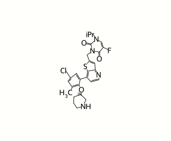 Cc1cc(Cl)cc(-c2ccnc3cc(Cn4c(=O)c(F)cn(C(C)C)c4=O)sc23)c1O[C@H]1CCCNC1